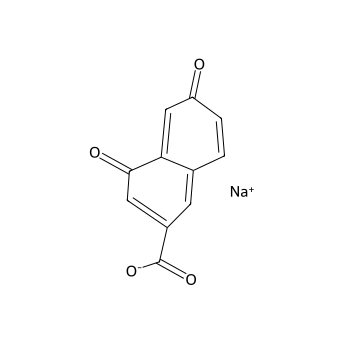 O=C1C=CC2=CC(C(=O)[O-])=CC(=O)C2=C1.[Na+]